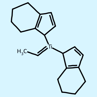 C[CH]=[Ti]([CH]1C=CC2=C1CCCC2)[CH]1C=CC2=C1CCCC2